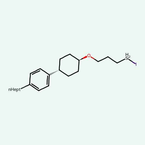 CCCCCCCc1ccc([C@H]2CC[C@H](OCCC[SiH2]I)CC2)cc1